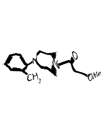 COCC(=O)N1CCN(c2cc[c]cc2C)CC1